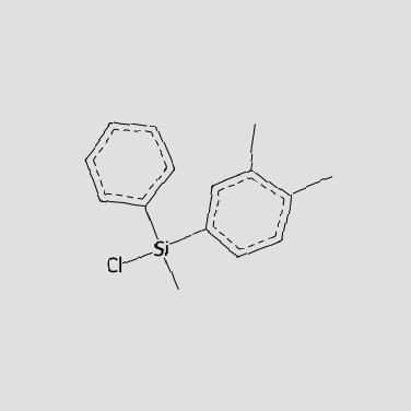 Cc1ccc([Si](C)(Cl)c2ccccc2)cc1C